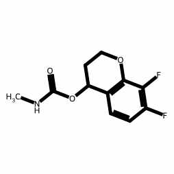 CNC(=O)OC1CCOc2c1ccc(F)c2F